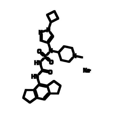 CN1CCC(N(c2cnn(C3CCC3)c2)S(=O)(=O)NC(=O)Nc2c3c(cc4c2CCC4)CCC3)CC1.[Na]